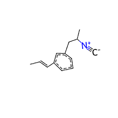 [C-]#[N+]C(C)Cc1cccc(C=CC)c1